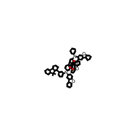 CC1(C)c2ccccc2-c2cccc(-c3cccc(N(c4ccc5c(c4)C4(c6ccccc6Oc6ccccc64)c4cc(N(c6ccccc6)c6cc7oc8ccccc8c7cc6-c6cc7ccccc7s6)ccc4-5)c4ccc5oc6ccccc6c5c4)c3)c21